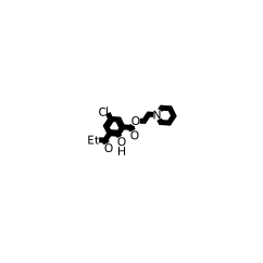 CCC(=O)c1cc(Cl)cc(C(=O)OCCN2CCCCC2)c1O